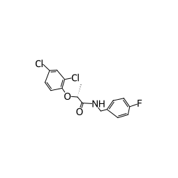 C[C@@H](Oc1ccc(Cl)cc1Cl)C(=O)NCc1ccc(F)cc1